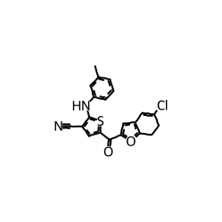 Cc1cccc(Nc2sc(C(=O)c3cc4c(o3)CCC(Cl)=C4)cc2C#N)c1